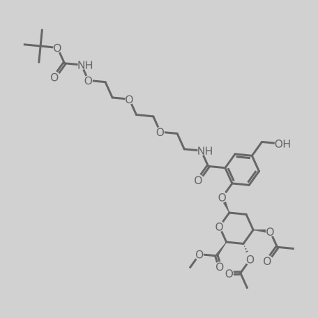 COC(=O)[C@H]1O[C@@H](Oc2ccc(CO)cc2C(=O)NCCOCCOCCONC(=O)OC(C)(C)C)C[C@@H](OC(C)=O)[C@@H]1OC(C)=O